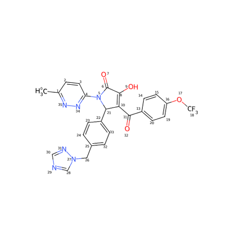 Cc1ccc(N2C(=O)C(O)=C(C(=O)c3ccc(OC(F)(F)F)cc3)C2c2ccc(Cn3cncn3)cc2)nn1